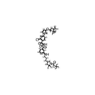 CC(C)(C)OC(=O)N1CC(CCCNc2cc(S(=O)(=O)NC(=O)c3ccc(-n4ccc(OCCC5(C(F)(F)F)CC5)n4)nc3Cl)ccn2)CC1(C)C